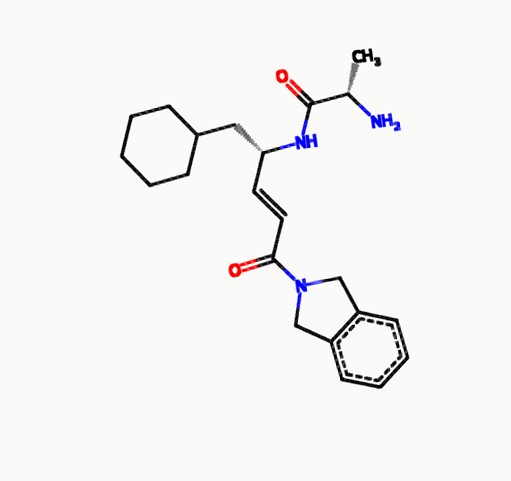 C[C@H](N)C(=O)N[C@H](/C=C/C(=O)N1Cc2ccccc2C1)CC1CCCCC1